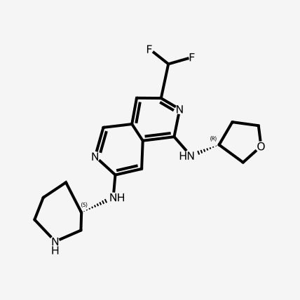 FC(F)c1cc2cnc(N[C@H]3CCCNC3)cc2c(N[C@@H]2CCOC2)n1